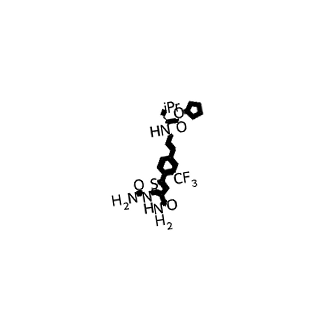 CC(C)C[C@@H](NC/C=C/c1ccc(-c2cc(C(N)=O)c(NC(N)=O)s2)c(C(F)(F)F)c1)C(=O)OC1CCCC1